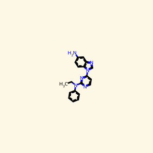 CCN(c1ccccc1)c1nccc(-n2cnc3cc(N)ccc32)n1